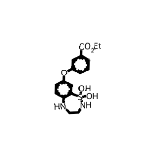 CCOC(=O)c1cccc(Oc2ccc3c(c2)S(O)(O)NCCN3)c1